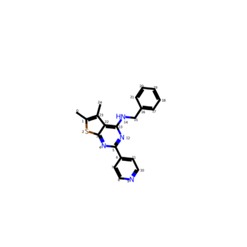 Cc1sc2nc(-c3ccncc3)nc(NCc3ccccc3)c2c1C